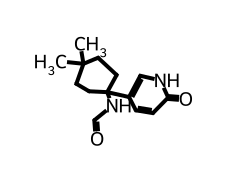 CC1(C)CCC(NC=O)(c2ccc(=O)[nH]c2)CC1